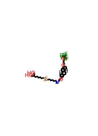 CN(CCCCCCSSCCCCCCC(CO)CO)CCOc1ccc2c(c1)CC[C@@H]1[C@@H]2CC[C@]2(C)[C@@H](OCCCOC(C(F)(F)F)(C(F)(F)F)C(F)(F)F)CC[C@@H]12